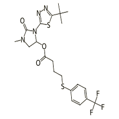 CN1CC(OC(=O)CCCSc2ccc(C(F)(F)F)cc2)N(c2nnc(C(C)(C)C)s2)C1=O